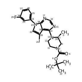 C[C@H]1CN(C(=O)OC(C)(C)C)CCN1c1ncnc2c1c(I)cn2-c1cccc(F)c1